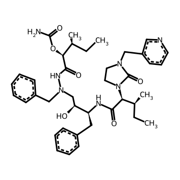 CC[C@H](C)[C@H](OC(N)=O)C(=O)NN(Cc1ccccc1)C[C@H](O)[C@H](Cc1ccccc1)NC(=O)[C@H]([C@@H](C)CC)N1CCN(Cc2cccnc2)C1=O